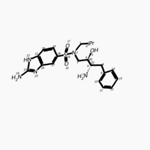 CC(C)CN(C[C@@H](O)[C@@H](N)Cc1ccccc1)S(=O)(=O)c1ccc2[nH]c(N)nc2c1